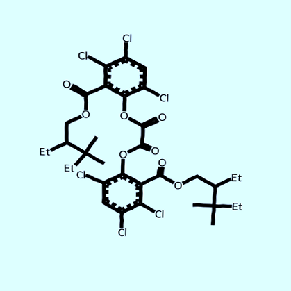 CCC(COC(=O)c1c(Cl)c(Cl)cc(Cl)c1OC(=O)C(=O)Oc1c(Cl)cc(Cl)c(Cl)c1C(=O)OCC(CC)C(C)(C)CC)C(C)(C)CC